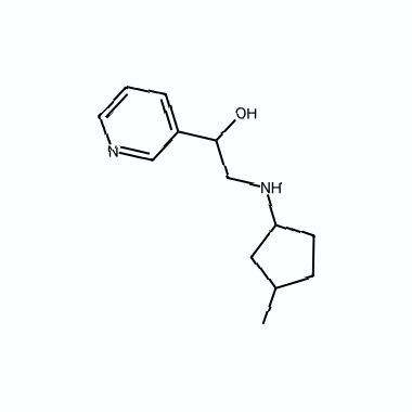 CC1CCC(NCC(O)c2cccnc2)C1